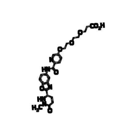 CN1NC(c2nc3cc(NC(=O)c4ccc(OCCOCCOCCC(=O)O)cn4)ccc3o2)C=CC1=O